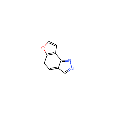 C1=NN=C2C1=CCc1occc12